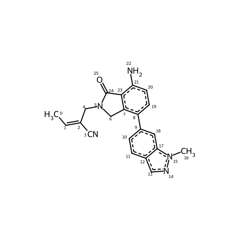 C/C=C(/C#N)CN1Cc2c(-c3ccc4cnn(C)c4c3)ccc(N)c2C1=O